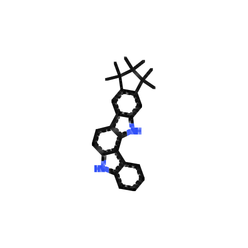 CC1(C)c2cc3[nH]c4c(ccc5[nH]c6ccccc6c54)c3cc2C(C)(C)C1(C)C